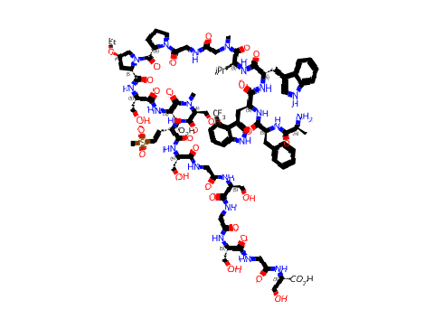 CCO[C@@H]1C[C@@H](C(=O)N[C@@H](CO)C(=O)N[C@@H](CC(=O)O)C(=O)N(C)[C@@H](CO)C(=O)N[C@@H](CCS(C)(=O)=O)C(=O)N[C@@H](CO)C(=O)NCC(=O)N[C@@H](CO)C(=O)NCC(=O)N[C@@H](CO)C(=O)NCC(=O)N[C@@H](CO)C(=O)O)N(C(=O)[C@@H]2CCCN2C(=O)CNC(=O)CN(C)C(=O)[C@@H](NC(=O)[C@H](Cc2c[nH]c3ccccc23)NC(=O)[C@H](Cc2c[nH]c3cccc(C(F)(F)F)c23)NC(=O)[C@H](Cc2ccccc2)NC(=O)[C@H](C)N)C(C)C)C1